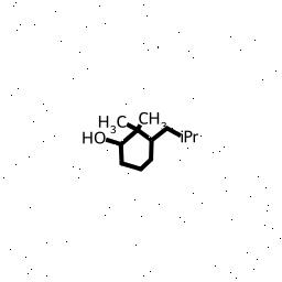 CC(C)CC1CCCC(O)C1(C)C